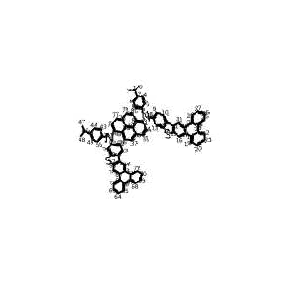 CC(C)c1ccc(N(c2ccc3c(c2)sc2cc4c5ccccc5c5ccccc5c4cc23)c2ccc3ccc4c(N(c5ccc(C(C)C)cc5)c5ccc6c(c5)sc5cc7c8ccccc8c8ccccc8c7cc56)ccc5ccc2c3c54)cc1